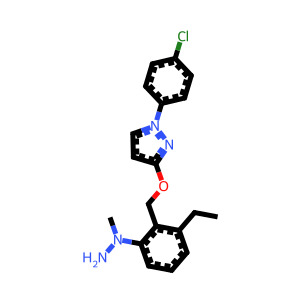 CCc1cccc(N(C)N)c1COc1ccn(-c2ccc(Cl)cc2)n1